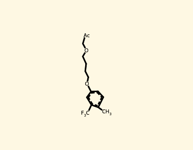 CC(=O)COCCCCOc1ccc(C)c(C(F)(F)F)c1